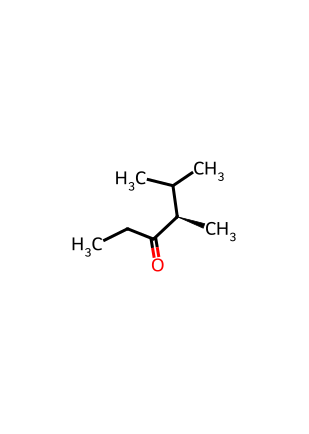 CCC(=O)[C@H](C)C(C)C